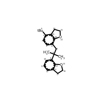 CC(C)(C)c1ccc(CC(C)(C)c2cccc3c2OCC3)c2c1CCO2